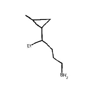 BCCCC(CC)C1CC1C